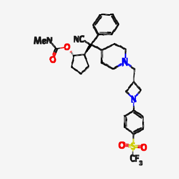 CNC(=O)O[C@H]1CCC[C@@H]1C(C#N)(c1ccccc1)C1CCN(CC2CN(c3ccc(S(=O)(=O)C(F)(F)F)cc3)C2)CC1